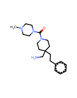 CN1CCN(C(=O)N2CCC(CN)(CCc3ccccc3)CC2)CC1